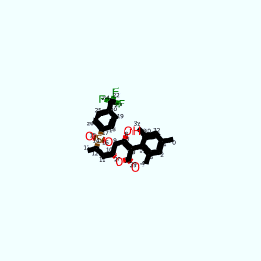 Cc1cc(C)c(C2=C(O)CC(CC(C)S(=O)(=O)c3ccc(C(F)(F)F)cc3)OC2=O)c(C)c1